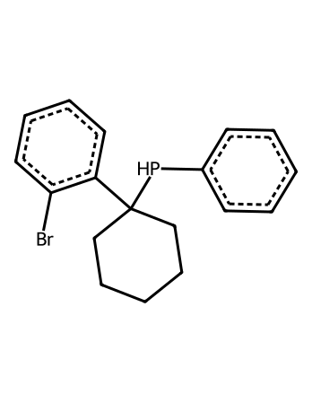 Brc1ccccc1C1(Pc2ccccc2)CCCCC1